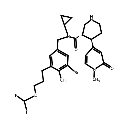 Cc1c(Br)cc(CN(C(=O)[C@@H]2CNCC[C@H]2c2ccn(C)c(=O)c2)C2CC2)cc1CCCOC(F)F